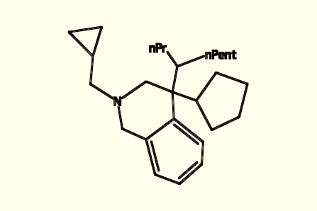 CCCCCC(CCC)C1(C2CCCC2)CN(CC2CC2)Cc2ccccc21